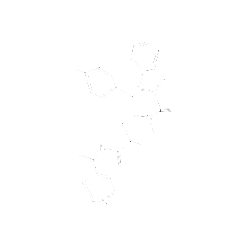 CC(NC(=O)C1CCN(C(=O)c2cc3ccccc3n2Cc2ccc(Cl)cc2)CC1)c1ccncc1